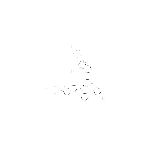 Cc1ccc(OC(C(=O)Nc2ccc3nc(N4CCN(C(C)C)CC4)cc(C)c3c2)C(Oc2ccc(Cl)cc2)C(=O)Nc2ccc3nc(N4CCN(C(C)C)CC4)cc(C)c3c2)cc1